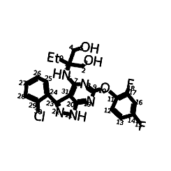 CCC(CO)(CO)Nc1nc(Oc2ccc(F)cc2F)nc2[nH]nc(-c3ccccc3Cl)c12